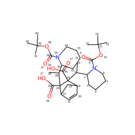 CC(C1CCCCN1C(=O)OC(C)(C)C)C1(C(=O)O)C2C=CC(C2)C1(C(=O)O)C(C)C1CCCCN1C(=O)OC(C)(C)C